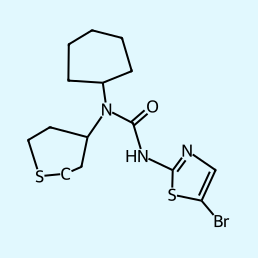 O=C(Nc1ncc(Br)s1)N(C1CCCCC1)C1CCSCC1